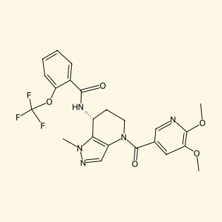 COc1cc(C(=O)N2CC[C@@H](NC(=O)c3ccccc3OC(F)(F)F)c3c2cnn3C)cnc1OC